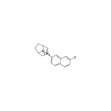 CN1C2C=C(c3ccc4ccc(F)cc4c3)CC1CC2